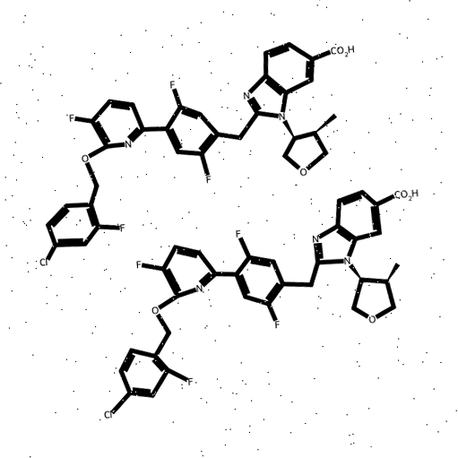 C[C@H]1COC[C@H]1n1c(Cc2cc(F)c(-c3ccc(F)c(OCc4ccc(Cl)cc4F)n3)cc2F)nc2ccc(C(=O)O)cc21.C[C@H]1COC[C@H]1n1c(Cc2cc(F)c(-c3ccc(F)c(OCc4ccc(Cl)cc4F)n3)cc2F)nc2ccc(C(=O)O)cc21